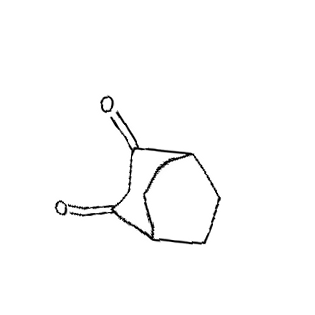 O=C1C(=O)C2CCC1C2